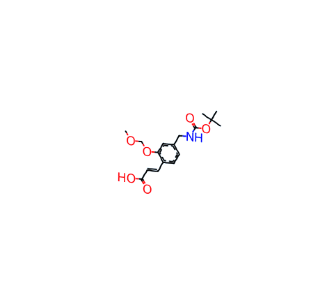 COCOc1cc(CNC(=O)OC(C)(C)C)ccc1C=CC(=O)O